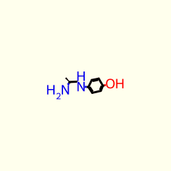 C[C@H](N)CNc1ccc(O)cc1